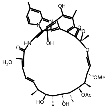 CO[C@H]1/C=C/O[C@@]2(C)Oc3c(C)c(O)c4c(O)c(c5c(nc6cc(C)ccn65)c4c3C2=O)NC(=O)/C(C)=C\C=C\[C@H](C)[C@H](O)[C@@H](C)[C@@H](O)[C@@H](C)[C@H](OC(C)=O)[C@@H]1C.O